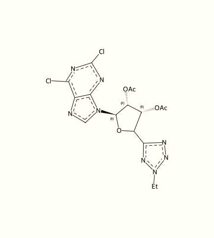 CCn1nnc(C2O[C@@H](n3cnc4c(Cl)nc(Cl)nc43)[C@H](OC(C)=O)[C@@H]2OC(C)=O)n1